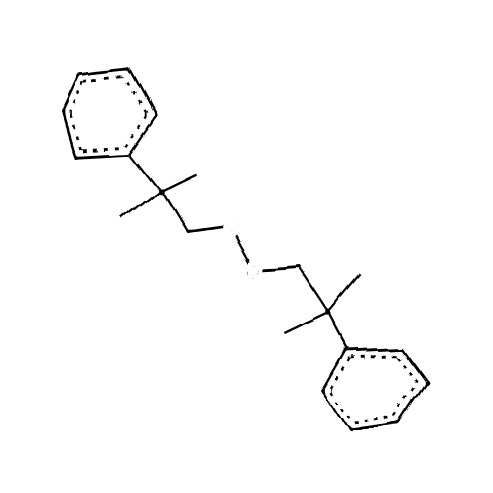 CC(C)(COOCC(C)(C)c1ccccc1)c1ccccc1